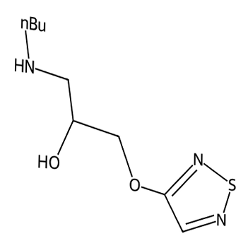 CCCCNCC(O)COc1cnsn1